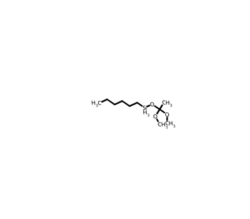 CCCCCC[SiH2]OC(C)(OC)OC